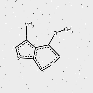 COc1cccc2scc(C)c12